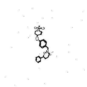 C[C@@H]1CCC(c2ccccc2)SN1Cc1ccc(OC2CCN(S(C)(=O)=O)CC2)cc1